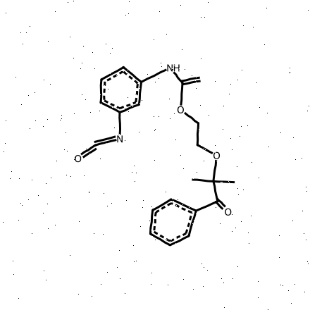 C=C(Nc1cccc(N=C=O)c1)OCCOC(C)(C)C(=O)c1ccccc1